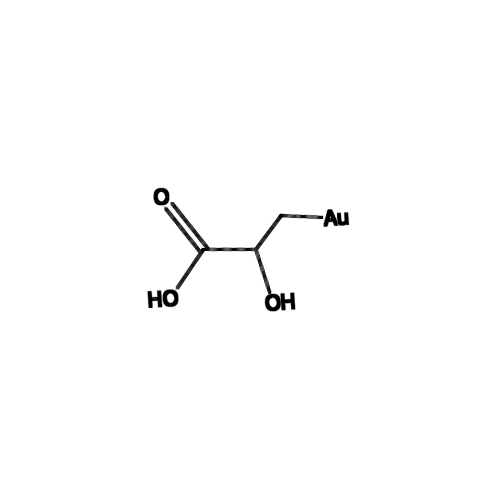 O=C(O)C(O)[CH2][Au]